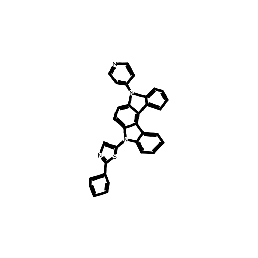 c1ccc(-c2ncc(-n3c4ccccc4c4c5c6ccccc6n(-c6ccncc6)c5ccc43)s2)cc1